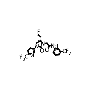 O=C(CN1C(=O)N(c2ccc(C(F)(F)F)nc2)C[C@@H]1CCF)Nc1cccc(C(F)(F)F)c1